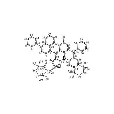 Cc1cc2c3c(c1)N(c1ccc(-c4ccccc4)c4ccccc14)c1c(oc4cc5c(cc14)C(C)(C)CCC5(C)C)B3c1cc3c(cc1N2c1ccccc1)C(C)(C)CCC3(C)C